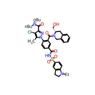 CCCCN(CCCC)C(=O)c1nn(-c2ccc(C(=O)NS(=O)(=O)c3ccc4c(c3)CCN4CC)cc2C(=O)N2Cc3ccccc3C[C@H]2CO)c(C)c1Cl